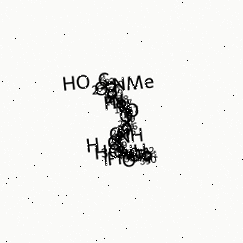 CNC1C=C(C(=O)O)C(=O)c2cc(F)c(N3CCN(C(=O)OCc4ccc(NC(=O)[C@H](C)CC(O)[C@@H](NC(=O)OCc5ccccc5)C(C)C)cc4)CC3)cc21